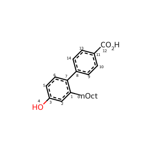 CCCCCCCCc1cc(O)ccc1-c1ccc(C(=O)O)cc1